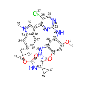 COc1cc(OCC2(NC(=O)OC(C)(C)C)CC2)c(N)cc1Nc1ncc(Cl)c(-c2cn(C)c3ccccc23)n1